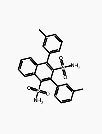 Cc1cccc(-c2c(S(N)(=O)=O)c(-c3cccc(C)c3)c3ccccc3c2S(N)(=O)=O)c1